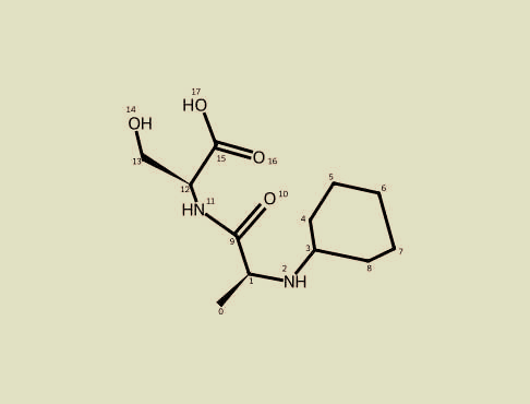 C[C@H](NC1CCCCC1)C(=O)N[C@@H](CO)C(=O)O